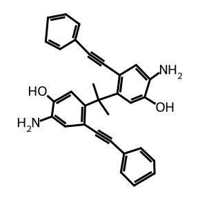 CC(C)(c1cc(O)c(N)cc1C#Cc1ccccc1)c1cc(O)c(N)cc1C#Cc1ccccc1